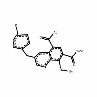 CCCCOc1c(C(=O)OC)cc(C(=O)C(C)=O)c2cc(Cc3ccc(F)cc3)cnc12